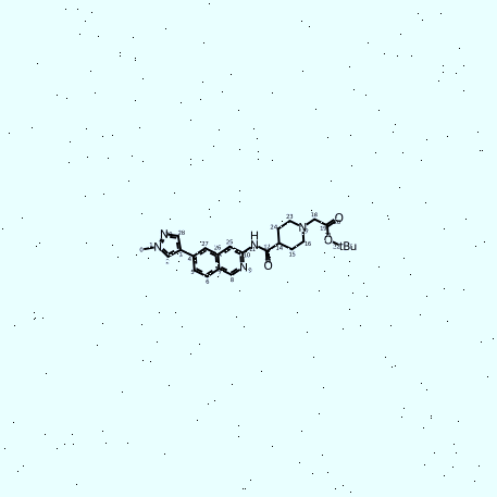 Cn1cc(-c2ccc3cnc(NC(=O)C4CCN(CC(=O)OC(C)(C)C)CC4)cc3c2)cn1